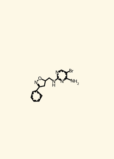 Nc1nc(NCC2CC(c3ccccc3)=NO2)ncc1Br